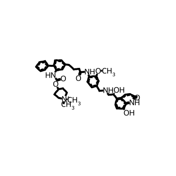 COc1cc(CNC[C@H](O)c2ccc(O)c3[nH]c(=O)ccc23)ccc1NC(=O)CCCc1ccc(-c2ccccc2)c(NC(=O)OC2CC[N+](C)(C)CC2)c1